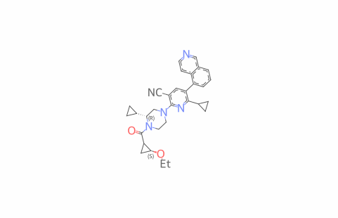 CCO[C@H]1CC1C(=O)N1CCN(c2nc(C3CC3)c(-c3cccc4cnccc34)cc2C#N)C[C@H]1C1CC1